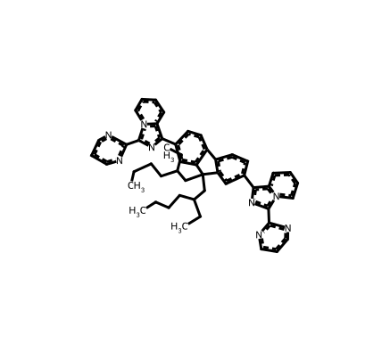 CCCCC(CC)CC1(CC(CC)CCCC)c2cc(-c3nc(-c4ncccn4)n4ccccc34)ccc2-c2ccc(-c3nc(-c4ncccn4)n4ccccc34)cc21